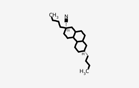 CCCC[C@@H]1CCC2C(CCC3C[C@](C#N)(CCCC)CCC32)C1